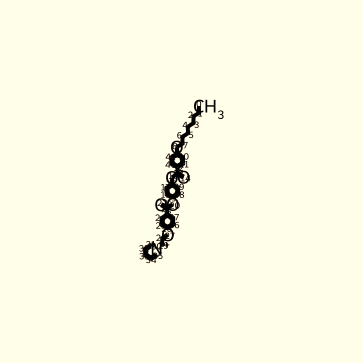 CCCCCCCCOc1ccc(C(=O)Oc2ccc(OC(=O)c3ccc(OCC[n+]4ccccc4)cc3)cc2)cc1